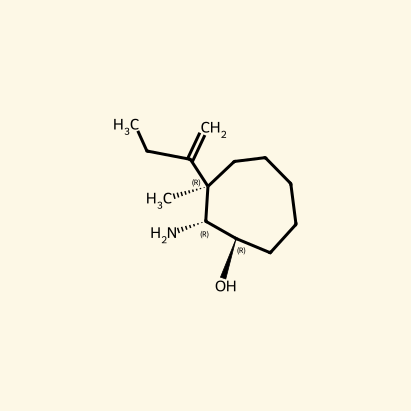 C=C(CC)[C@@]1(C)CCCCC[C@@H](O)[C@@H]1N